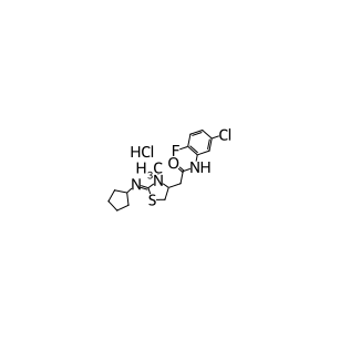 CN1C(=NC2CCCC2)SCC1CC(=O)Nc1cc(Cl)ccc1F.Cl